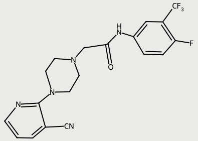 N#Cc1cccnc1N1CCN(CC(=O)Nc2ccc(F)c(C(F)(F)F)c2)CC1